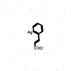 O=C([O-])/C=C/c1ccccc1.[Ag+]